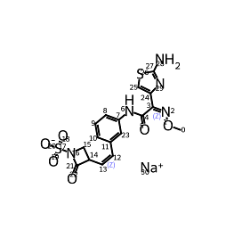 CO/N=C(\C(=O)Nc1cccc(/C=C\C2CN(S(=O)(=O)[O-])C2=O)c1)c1csc(N)n1.[Na+]